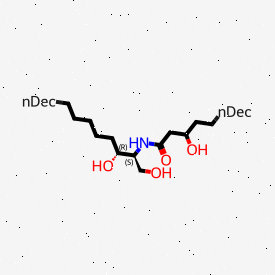 CCCCCCCCCCCCCCC[C@@H](O)[C@H](CO)NC(=O)CC(O)CCCCCCCCCCCC